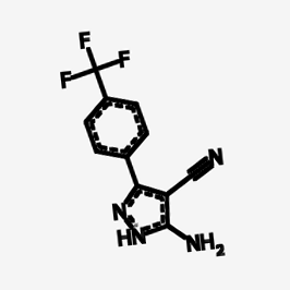 N#Cc1c(-c2ccc(C(F)(F)F)cc2)n[nH]c1N